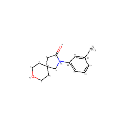 O=C1CC2(CCOCC2)CN1c1cccc([N+](=O)[O-])c1